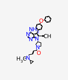 C#Cc1c(-c2ccc(Oc3ccccc3)cc2)c2c(N)ncnc2n1[C@@H]1CCN(C(=O)/C=C/CN(C)C2CC2)C1